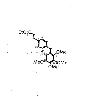 CCOC(=O)CCc1ccc(Cc2c(C)c(OC)c(OC)c(OC)c2OC)cc1